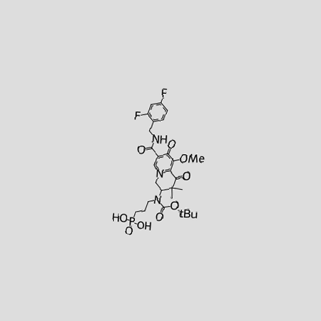 COc1c2n(cc(C(=O)NCc3ccc(F)cc3F)c1=O)CC(N(CCCP(=O)(O)O)C(=O)OC(C)(C)C)C(C)(C)C2=O